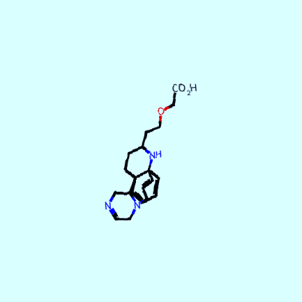 O=C(O)COCCC1CCC23C=CC=CC2(C=CCN2CC=NCC23)N1